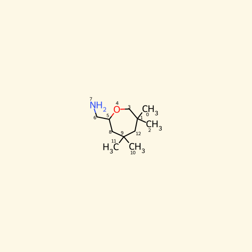 CC1(C)COC(CN)CC(C)(C)C1